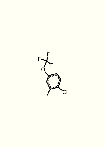 Cc1cc(OC(F)(F)F)ccc1Cl